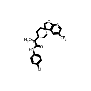 C[C@H](C(=O)Nc1ccc(Cl)cc1)[C@H]1CC[C@]2(CC1)COc1ncc(C(F)(F)F)cc12